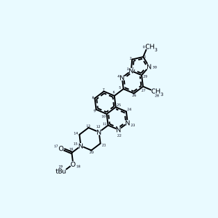 Cc1cn2nc(-c3cccc4c(N5CCN(C(=O)OC(C)(C)C)CC5)nncc34)cc(C)c2n1